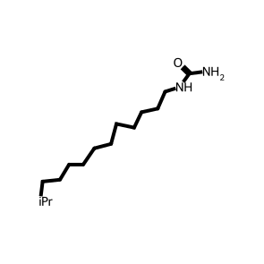 CC(C)CCCCCCCCCCCNC(N)=O